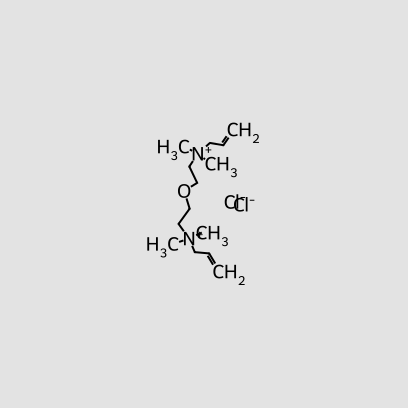 C=CC[N+](C)(C)CCOCC[N+](C)(C)CC=C.[Cl-].[Cl-]